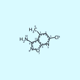 Cc1cc(Cl)nc2onc(N)c12